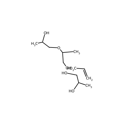 C=CC(=O)O.CC(O)CO.CC(O)COC(C)CO